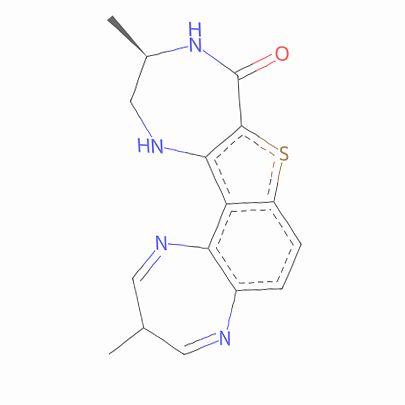 CC1C=Nc2ccc3sc4c(c3c2N=C1)NC[C@@H](C)NC4=O